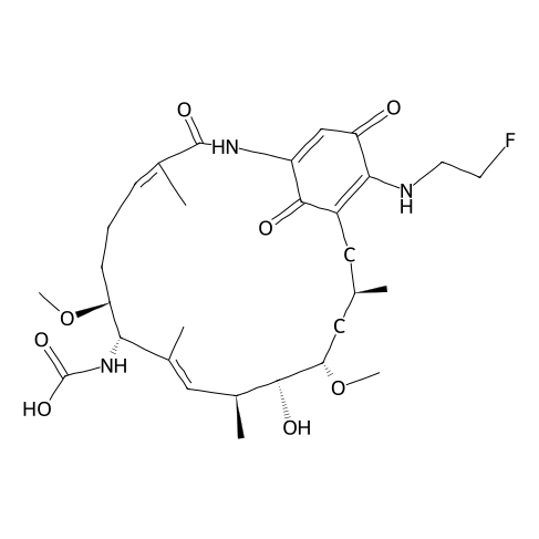 CO[C@H]1C[C@H](C)CC2=C(NCCF)C(=O)C=C(NC(=O)/C(C)=C/CC[C@H](OC)[C@@H](NC(=O)O)/C(C)=C/[C@H](C)[C@H]1O)C2=O